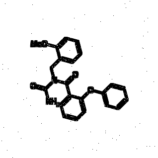 COc1ccccc1CN(C(N)=O)C(=O)c1ccccc1Oc1ccccc1